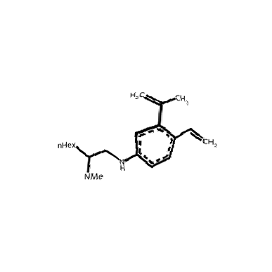 C=Cc1ccc(NCC(CCCCCC)NC)cc1C(=C)C